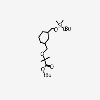 CC(C)(C)OC(=O)C(C)(C)OCC1CCCC(CO[Si](C)(C)C(C)(C)C)C1